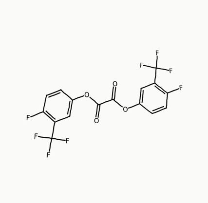 O=C(Oc1ccc(F)c(C(F)(F)F)c1)C(=O)Oc1ccc(F)c(C(F)(F)F)c1